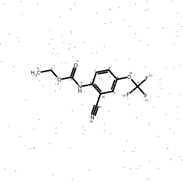 CCOC(=O)Nc1ccc(OC(F)(F)F)cc1C#N